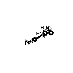 NS(=O)(=O)c1ccccc1-c1ccc2[nH]c(C#Cc3ccc(OCC(F)(F)F)cc3)nc2c1